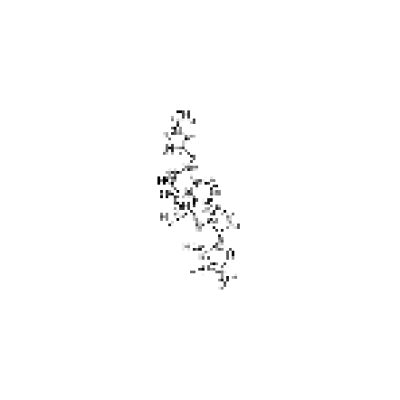 Cn1cnc(C[C@H](N)C(=O)N(n2c(N)nc3c(ncn3[C@@H]3O[C@H](CO)C(O)C3O)c2=O)P(=O)(O)O)c1